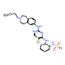 CCS(=O)(=O)N[C@@H]1CCCC[C@H]1Nc1nc(Nc2ccc3c(c2)CCN(CCOC)CC3)ncc1Cl